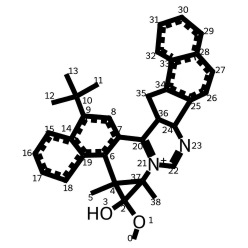 COC1(O)C2(C)c3c(cc(C(C)(C)C)c4ccccc34)C3=[N+](C=NC4c5ccc6ccccc6c5CC34)C12C